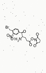 NC(CCC(=O)ON1C(=O)CCC1=O)C(=O)c1ccc(CBr)c([N+](=O)[O-])c1